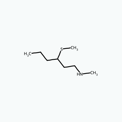 CCCC(CCNC)SC